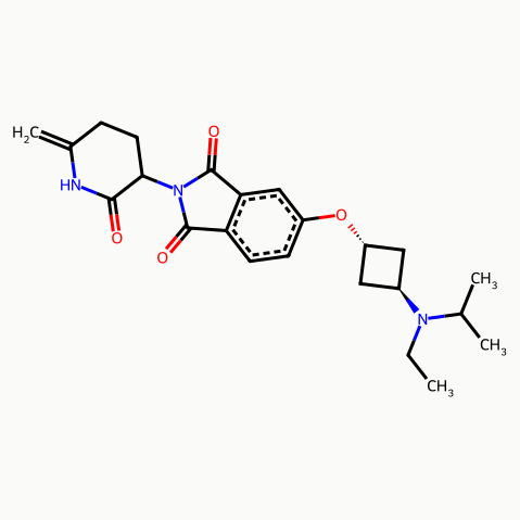 C=C1CCC(N2C(=O)c3ccc(O[C@H]4C[C@H](N(CC)C(C)C)C4)cc3C2=O)C(=O)N1